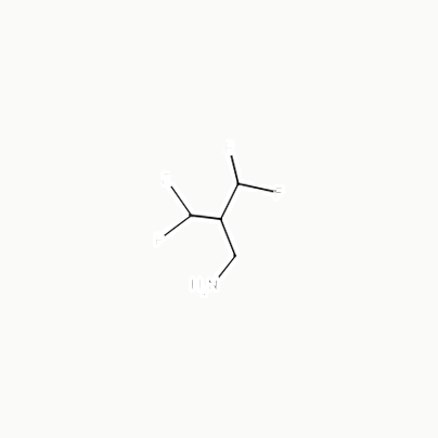 NCC(C(F)F)C(F)F